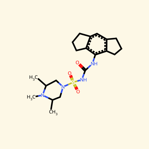 CC1CN(S(=O)(=O)NC(=O)Nc2c3c(cc4c2CCC4)CCC3)CC(C)N1C